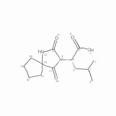 CC(C)C[C@@H](C(=O)O)N1C(=O)NC2(CCCC2)C1=O